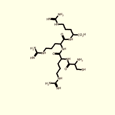 N=C(N)NCCCC(NC(=O)C(CCCNC(=N)N)NC(=O)C(CCCNC(=N)N)NC(=O)C(N)CS)C(=O)O